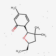 CC[C@@H]1CC(C)(C)[C@H](C2C=CC(C)=CC2=O)O1